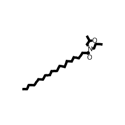 CCCCCCCCCCCCCCCCCC(=O)N1CC(C)OC(C)C1